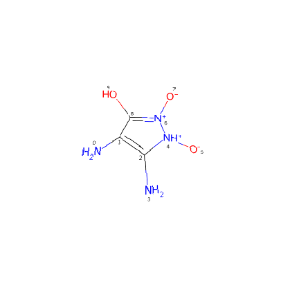 NC1=C(N)[NH+]([O-])[N+]([O-])=C1O